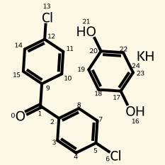 O=C(c1ccc(Cl)cc1)c1ccc(Cl)cc1.Oc1ccc(O)cc1.[KH]